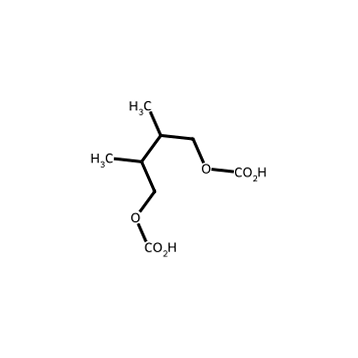 CC(COC(=O)O)C(C)COC(=O)O